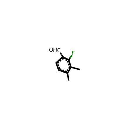 Cc1ccc(C=O)c(F)c1C